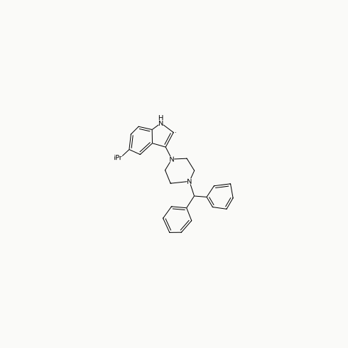 CC(C)c1ccc2[nH][c]c(N3CCN(C(c4ccccc4)c4ccccc4)CC3)c2c1